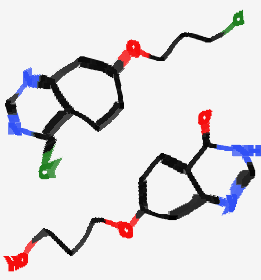 ClCCCOc1ccc2c(Cl)ncnc2c1.O=c1[nH]cnc2cc(OCCCO)ccc12